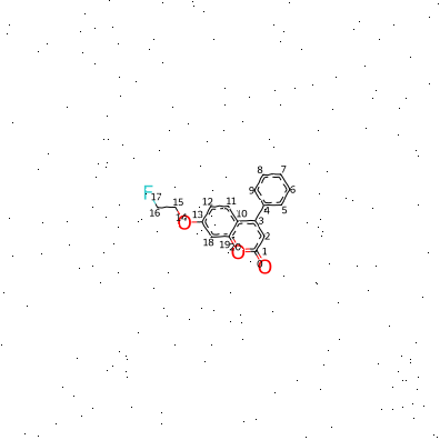 O=c1cc(-c2ccccc2)c2ccc(OCCF)cc2o1